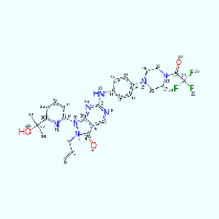 C=CCn1c(=O)c2cnc(Nc3ccc(N4CCN(C(=O)C(F)(F)F)CC4)cc3)nc2n1-c1cccc(C(C)(C)O)n1